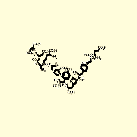 C[C@H](N)C(=O)O.N=C(N)NCCC[C@H](N)C(=O)O.NCC(=O)O.N[C@@H](CC(=O)O)C(=O)O.N[C@@H](CCC(=O)O)C(=O)O.N[C@@H](CO)C(=O)O.N[C@@H](Cc1c[nH]cn1)C(=O)O.N[C@@H](Cc1ccc(O)cc1)C(=O)O.N[C@@H](Cc1ccccc1)C(=O)O.O=C(O)[C@@H]1CCCN1